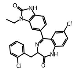 CCn1c(=O)[nH]c2ccc(C3=NC(Cc4ccccc4Cl)C(=O)Nc4ccc(Cl)cc43)cc21